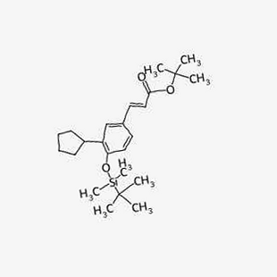 CC(C)(C)OC(=O)C=Cc1ccc(O[Si](C)(C)C(C)(C)C)c(C2CCCC2)c1